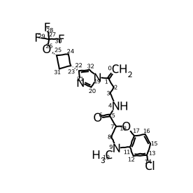 C=C(CCNC(=O)C1CN(C)c2cc(Cl)ccc2O1)n1cnc([C@H]2C[C@@H](OC(F)(F)F)C2)c1